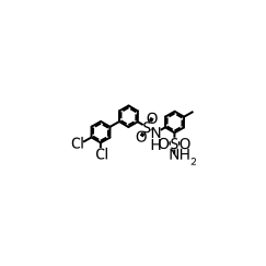 Cc1ccc(NS(=O)(=O)c2cccc(-c3ccc(Cl)c(Cl)c3)c2)c(S(N)(=O)=O)c1